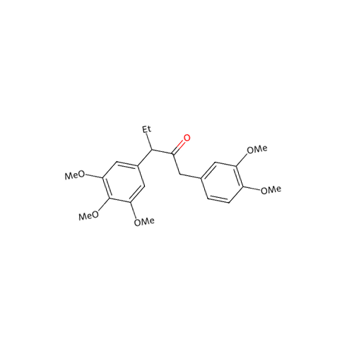 CCC(C(=O)Cc1ccc(OC)c(OC)c1)c1cc(OC)c(OC)c(OC)c1